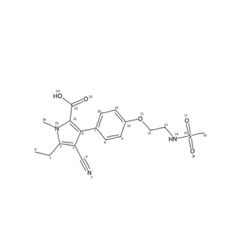 CCc1c(C#N)c(-c2ccc(OCCNS(C)(=O)=O)cc2)c(C(=O)O)n1C